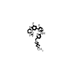 CN1CC2(C1)CN(Cc1ccc(Nc3ncc(F)c(-c4cc(F)c5nc6n(c5c4)[C@H](C(F)(F)F)CC6)n3)nc1)C2